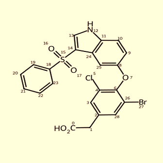 O=C(O)Cc1cc(Cl)c(Oc2ccc3[nH]cc(S(=O)(=O)c4ccccc4)c3c2)c(Br)c1